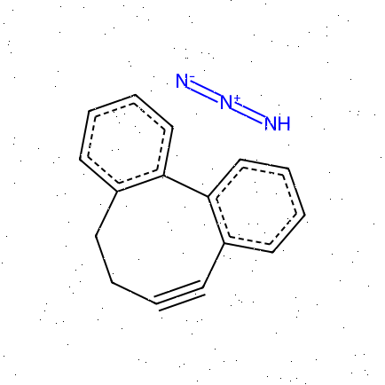 C1#Cc2ccccc2-c2ccccc2CC1.[N-]=[N+]=N